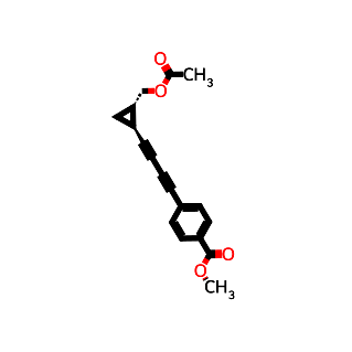 COC(=O)c1ccc(C#CC#C[C@H]2C[C@@H]2COC(C)=O)cc1